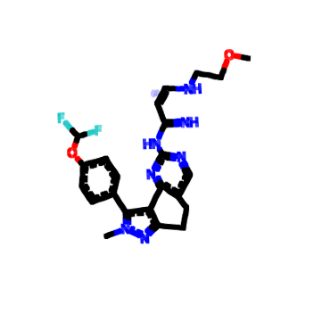 COCCN/C=C\C(=N)Nc1ncc2c(n1)-c1c(nn(C)c1-c1ccc(OC(F)F)cc1)CC2